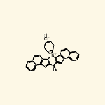 CCC1=Cc2c(ccc3ccccc23)[CH]1[Ti+2]1([CH]2C(CC)=Cc3c2ccc2ccccc32)[CH]2CCCC[CH]21.[Cl-].[Cl-]